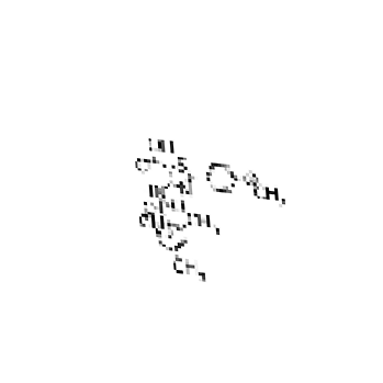 COc1ccc(-c2nc(NP(=O)(OC)c3ccc(C)cc3C)c(C(=O)O)s2)cc1